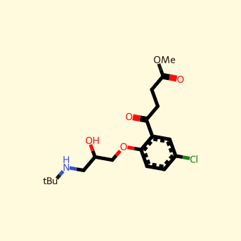 COC(=O)CCC(=O)c1cc(Cl)ccc1OCC(O)CNC(C)(C)C